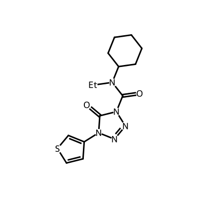 CCN(C(=O)n1nnn(-c2ccsc2)c1=O)C1CCCCC1